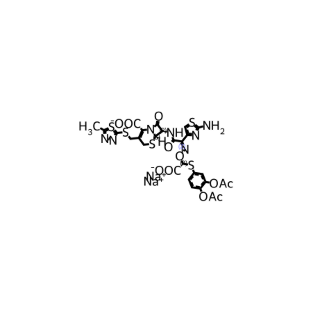 CC(=O)Oc1ccc(S[C@@H](O/N=C(\C(=O)N[C@@H]2C(=O)N3C(C(=O)[O-])=C(CSc4nnc(C)s4)CS[C@@H]23)c2csc(N)n2)C(=O)[O-])cc1OC(C)=O.[Na+].[Na+]